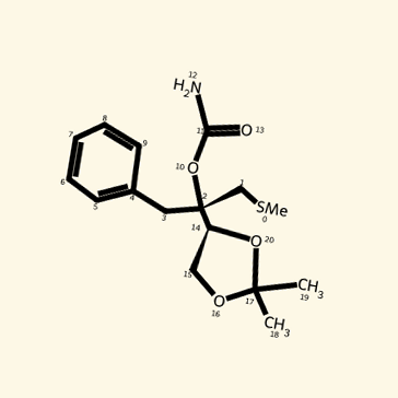 CSC[C@@](Cc1ccccc1)(OC(N)=O)[C@@H]1COC(C)(C)O1